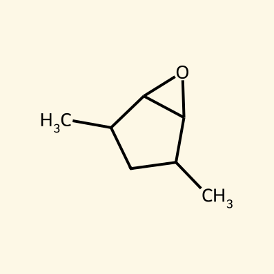 CC1CC(C)C2OC12